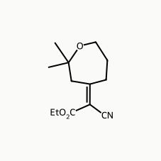 CCOC(=O)/C(C#N)=C1/CCCOC(C)(C)C1